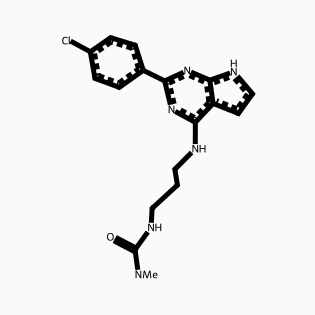 CNC(=O)NCCCNc1nc(-c2ccc(Cl)cc2)nc2[nH]ccc12